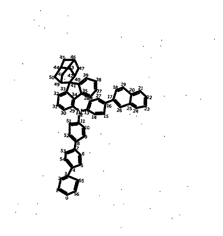 c1ccc(-c2ccc(-c3ccc(N(c4ccc(-c5ccc6ccccc6c5)cc4)c4cccc5c4-c4ccccc4C54C5CC6CC(C5)CC4C6)cc3)cc2)cc1